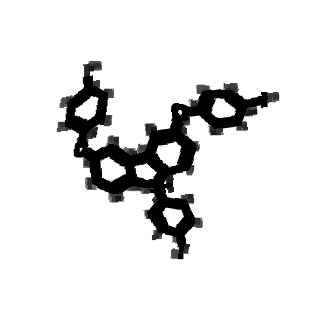 Fc1ccc([SH]2c3ccc(Oc4ccc(I)cc4)cc3-c3cc(Oc4ccc(I)cc4)ccc32)cc1